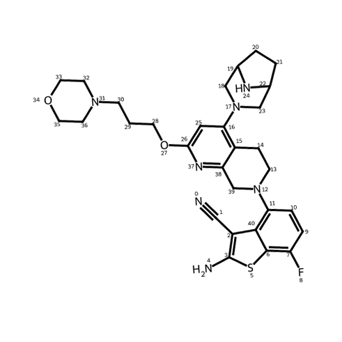 N#Cc1c(N)sc2c(F)ccc(N3CCc4c(N5CC6CCC(C5)N6)cc(OCCCN5CCOCC5)nc4C3)c12